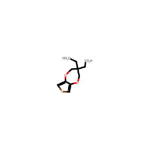 O=C(O)CC1(CC(=O)O)COc2cscc2OC1